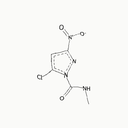 CNC(=O)n1nc([N+](=O)[O-])cc1Cl